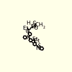 C=C(C)C(=O)OCCCC(CC)Oc1cccc(N(c2ccccc2)c2ccc3c(c2)C(CC)(CC)c2cc(-c4nc5ccccc5s4)ccc2-3)c1